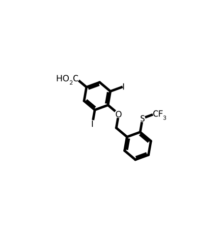 O=C(O)c1cc(I)c(OCc2ccccc2SC(F)(F)F)c(I)c1